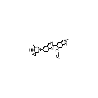 COCOc1cc2nn(C)cc2cc1-c1ncc2cc(N3CC(C)NC4(CC4)C3)ccc2n1